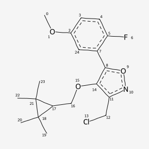 COc1ccc(F)c(-c2onc(CCl)c2OCC2C(C)(C)C2(C)C)c1